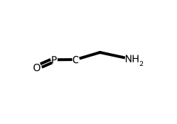 NCCP=O